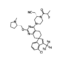 [2H]C([2H])([2H])C1=CC2(CCc3c(nc(OC[C@@H]4CCCN4C)nc3N3CCN(C(=O)C(C)F)[C@@H](CC#N)C3)C2)c2cccc(Cl)c21